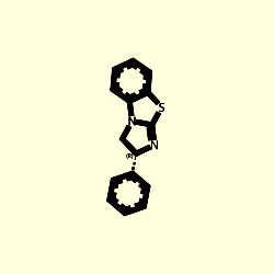 c1ccc([C@@H]2CN3C(=N2)Sc2ccccc23)cc1